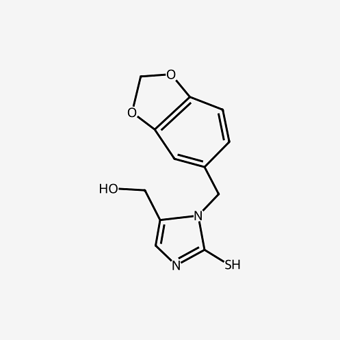 OCc1cnc(S)n1Cc1ccc2c(c1)OCO2